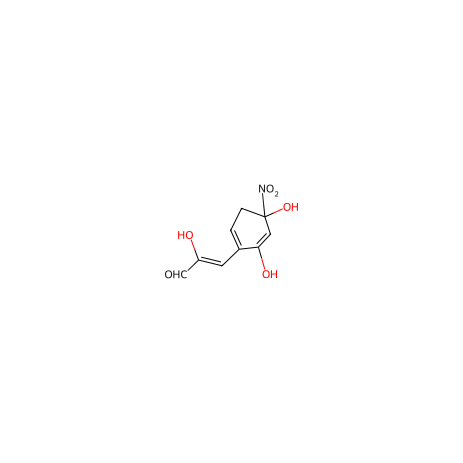 O=CC(O)=CC1=CCC(O)([N+](=O)[O-])C=C1O